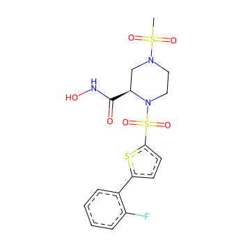 CS(=O)(=O)N1CCN(S(=O)(=O)c2ccc(-c3ccccc3F)s2)[C@@H](C(=O)NO)C1